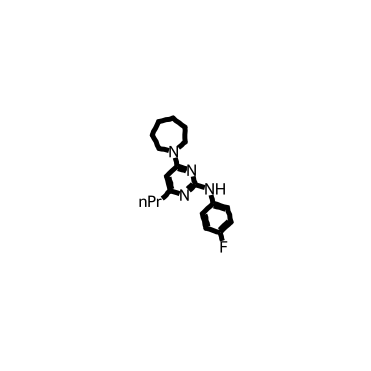 CCCc1cc(N2CCCCCC2)nc(Nc2ccc(F)cc2)n1